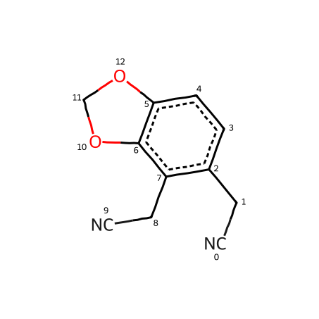 N#CCc1ccc2c(c1CC#N)OCO2